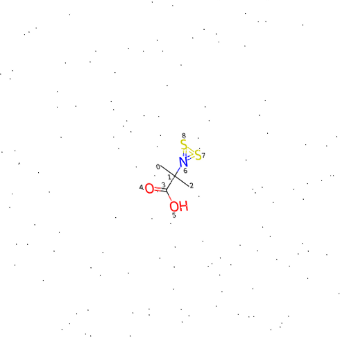 CC(C)(C(=O)O)n1ss1